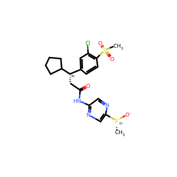 C[S@@+]([O-])c1cnc(NC(=O)C[C@@H](c2ccc(S(C)(=O)=O)c(Cl)c2)C2CCCC2)cn1